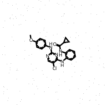 COc1ccc(Nc2ncc(Cl)c(Nc3ccccc3NC(=O)C3CC3)n2)cc1